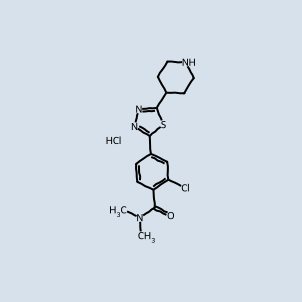 CN(C)C(=O)c1ccc(-c2nnc(C3CCNCC3)s2)cc1Cl.Cl